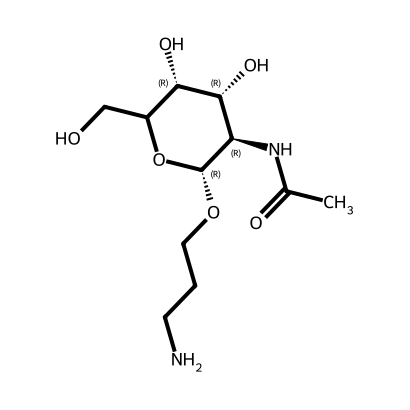 CC(=O)N[C@H]1[C@H](OCCCN)OC(CO)[C@H](O)[C@@H]1O